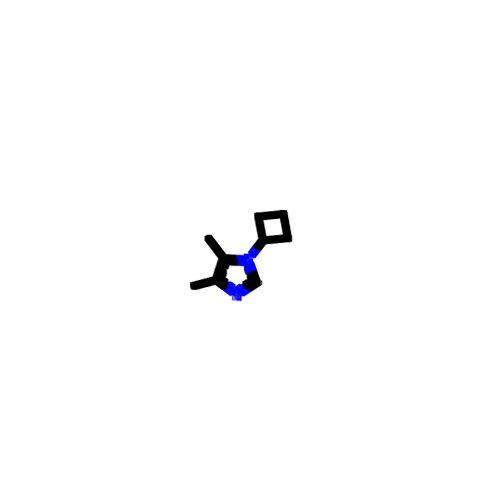 Cc1n[c]n(C2CCC2)c1C